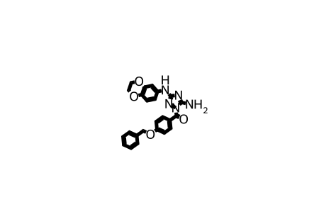 Nc1nc(Nc2ccc3c(c2)OCCO3)nn1C(=O)c1ccc(OCc2ccccc2)cc1